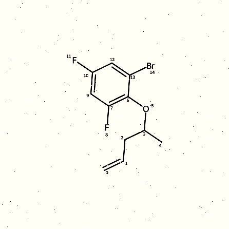 C=CCC(C)Oc1c(F)cc(F)cc1Br